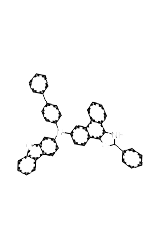 c1ccc(-c2ccc(N(c3ccc4c(c3)oc3ccccc34)c3ccc4c5c(c6ccccc6c4c3)NC(c3ccccc3)O5)cc2)cc1